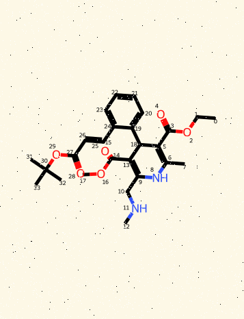 CCOC(=O)C1=C(C)NC(CNC)=C(C(=O)OC)C1c1ccccc1C=CC(=O)OC(C)(C)C